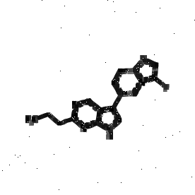 Fc1cnc2ccc(-c3c[nH]c4nc(CCC(F)(F)F)ncc34)cn12